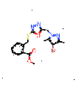 COC(=O)c1ccccc1CSc1nnc(Cn2nc(C)c(Br)c2C)o1